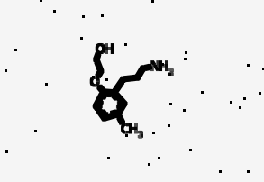 Cc1ccc(OCCO)c(CCCN)c1